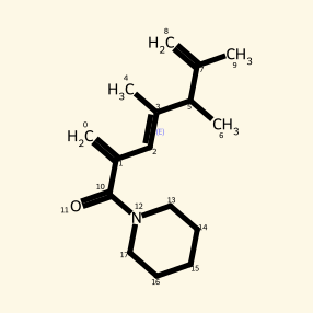 C=C(/C=C(\C)C(C)C(=C)C)C(=O)N1CCCCC1